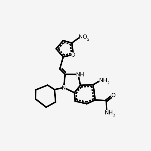 NC(=O)c1ccc2c(c1N)NC(=Cc1ccc([N+](=O)[O-])o1)N2C1CCCCC1